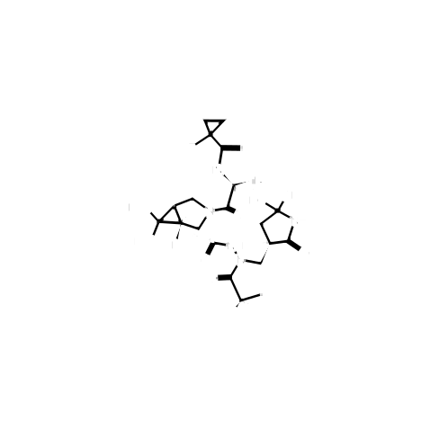 CC[C@H](C)[C@H](NC(=O)C1(F)CC1)C(=O)N1CC2[C@H]([C@H]1C(=O)NN(C[C@H]1CC(C)(C)NC1=O)C(=O)[C@H](F)Cl)C2(C)C